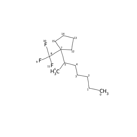 CCCCCC(C)C1(C(F)(F)F)CCCC1